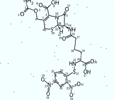 NC(=O)OCC1=C(C(=O)O)N2C(=O)[C@@H](NC(=O)CCCC(NSc3ccc([N+](=O)[O-])cc3[N+](=O)[O-])C(=O)O)[C@@H]2SC1